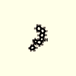 c1ccc(-n2ncc3c4c(ccc32)[nH]c2cc3ccc5ccccc5c3cc24)cc1